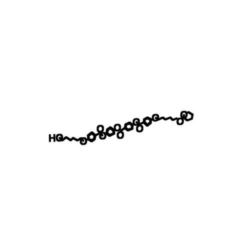 O=C(Oc1ccc(OC(=O)c2ccc(OC(=O)c3ccc(OCCCCCCOC4CCCCO4)cc3)cc2)cc1)c1ccc(OCCCCCCO)cc1